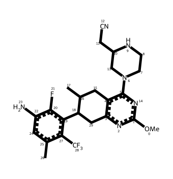 COc1nc2c(c(N3CCNC(CC#N)C3)n1)CC(C)C(c1c(F)c(N)cc(C)c1C(F)(F)F)C2